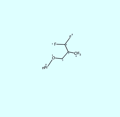 CCCOCC(C)C(F)F